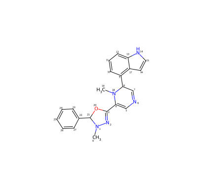 CN1N=C(C2=CN=CC(c3cccc4[nH]ccc34)N2C)OC1c1ccccc1